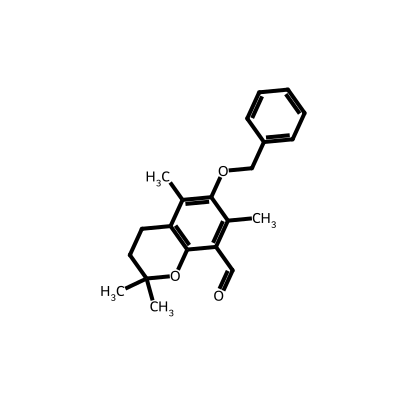 Cc1c(C=O)c2c(c(C)c1OCc1ccccc1)CCC(C)(C)O2